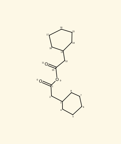 O=C(CC1CCCCC1)OC(=O)CC1CCCCC1